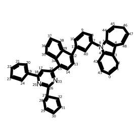 C1=CCc2c3c(n(-c4cccc(-c5ccc(-c6cc(-c7ccccc7)nc(-c7ccccc7)n6)c6ccccc56)c4)c2C=C1)C=CCC=C3